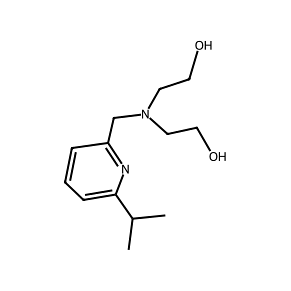 CC(C)c1cccc(CN(CCO)CCO)n1